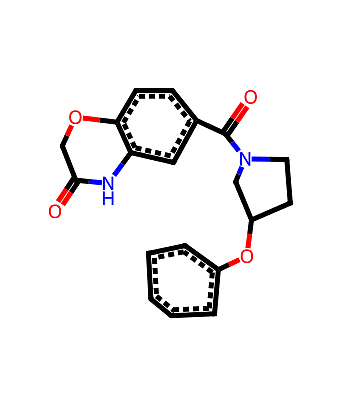 O=C1COc2ccc(C(=O)N3CCC(Oc4ccccc4)C3)cc2N1